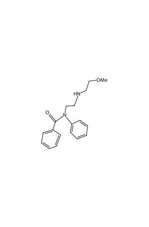 COCCNCCN(C(=O)c1ccccc1)c1ccccc1